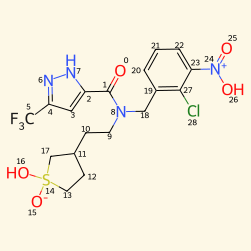 O=C(c1cc(C(F)(F)F)n[nH]1)N(CCC1CCS([O-])(O)C1)Cc1cccc([N+](=O)O)c1Cl